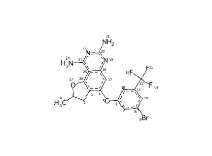 CC1Cc2c(Oc3cc(Br)cc(C(F)(F)F)c3)cc3nc(N)nc(N)c3c2O1